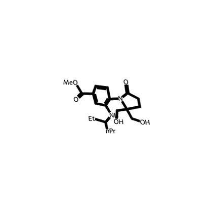 CCCC(CC)Nc1cc(C(=O)OC)ccc1N1C(=O)CCC1(CO)CO